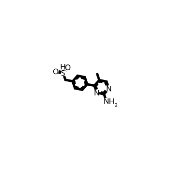 Cc1cnc(N)nc1-c1ccc(C[SH](=O)=O)cc1